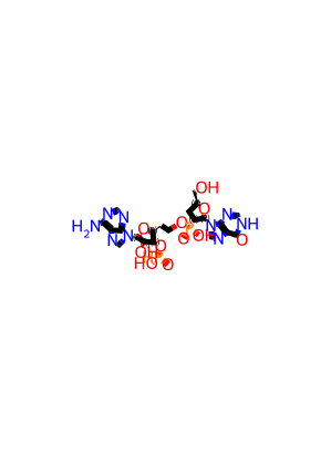 Nc1ncnc2c1ncn2[C@@H]1O[C@H](CCOP(=O)(O)[C@@H]2C[C@@H](CO)O[C@H]2n2cnc3c(=O)[nH]cnc32)[C@@H](O[PH](=O)O)[C@H]1O